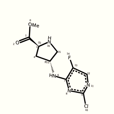 COC(=O)[C@@H]1C[C@@H](Nc2nc(Cl)ncc2F)CN1